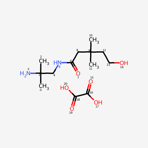 CC(C)(N)CNC(=O)CC(C)(C)CCO.O=C(O)C(=O)O